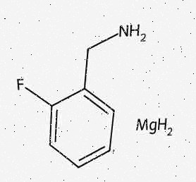 NCc1c[c]ccc1F.[MgH2]